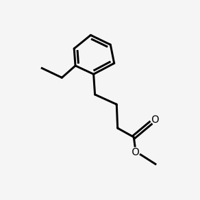 CCc1ccccc1CCCC(=O)OC